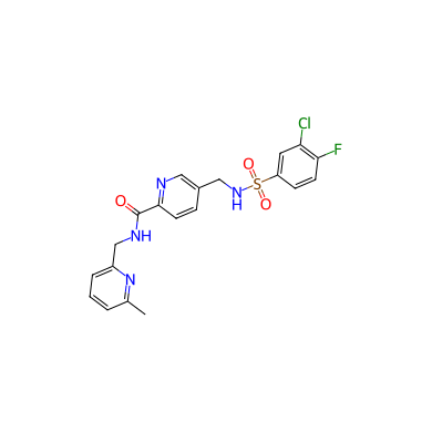 Cc1cccc(CNC(=O)c2ccc(CNS(=O)(=O)c3ccc(F)c(Cl)c3)cn2)n1